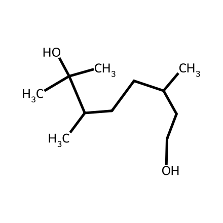 CC(CCO)CCC(C)C(C)(C)O